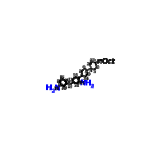 CCCCCCCCC1CCC(C2CCC(c3ccc(Cc4cccc(N)c4)cc3N)CC2)CC1